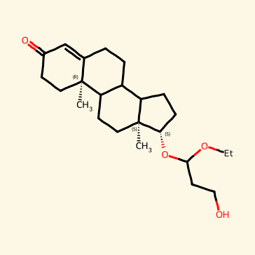 CCOC(CCO)O[C@H]1CCC2C3CCC4=CC(=O)CC[C@]4(C)C3CC[C@@]21C